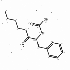 CCCCOC(=O)[C@H](Cc1ccccc1)NC(=O)O